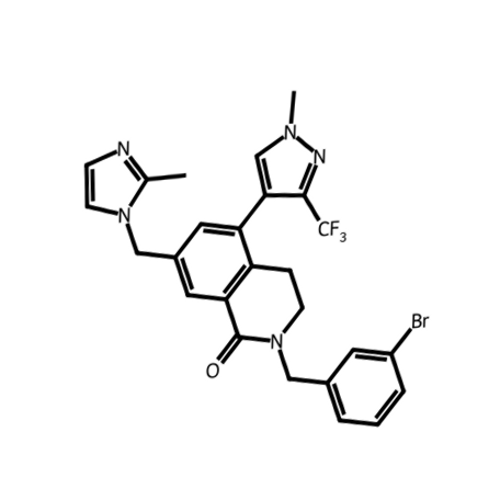 Cc1nccn1Cc1cc2c(c(-c3cn(C)nc3C(F)(F)F)c1)CCN(Cc1cccc(Br)c1)C2=O